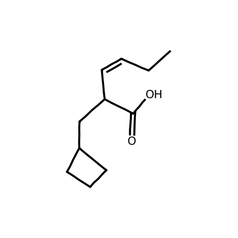 CC/C=C\C(CC1CCC1)C(=O)O